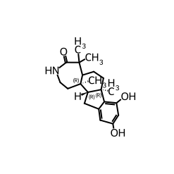 CC1(C)C(=O)NCC[C@@]2(C)C1CC[C@@]1(C)c3c(O)cc(O)cc3C[C@@H]12